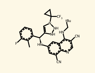 Cc1c(F)cccc1[C@H](Nc1cc(C#N)c2ncc(C#N)c(NCC(C)(C)C)c2c1)C1=CN(C2(C(F)(F)F)CC2)NN1